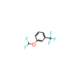 FC(F)Oc1cccc(C(F)(F)F)c1